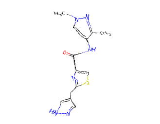 Cc1nn(C)cc1NC(=O)c1csc(-c2cn[nH]c2)n1